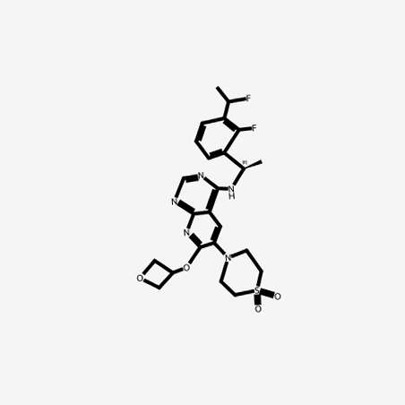 CC(F)c1cccc([C@@H](C)Nc2ncnc3nc(OC4COC4)c(N4CCS(=O)(=O)CC4)cc23)c1F